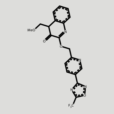 COCC1C(=O)C(OCc2ccc(-c3noc(C(F)(F)F)n3)cn2)=Nc2ccccc21